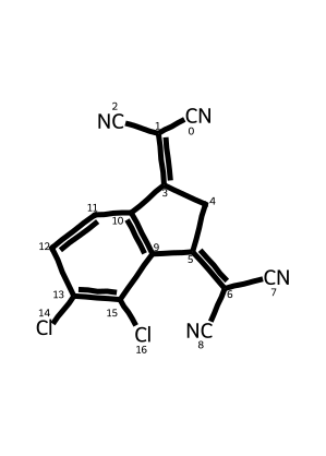 N#CC(C#N)=C1CC(=C(C#N)C#N)c2c1ccc(Cl)c2Cl